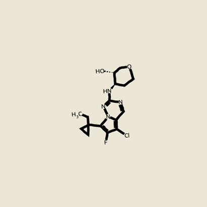 CCC1(c2c(F)c(Cl)c3cnc(N[C@@H]4CCOC[C@H]4O)nn23)CC1